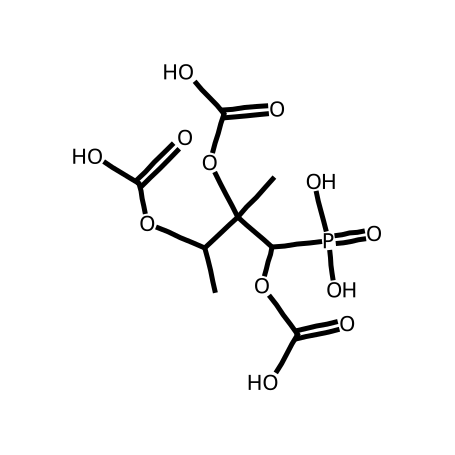 CC(OC(=O)O)C(C)(OC(=O)O)C(OC(=O)O)P(=O)(O)O